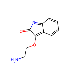 NCCOC1=c2ccccc2=NC1=O